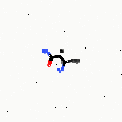 NC(=O)C[C@H](N)C(=O)O.[Si]